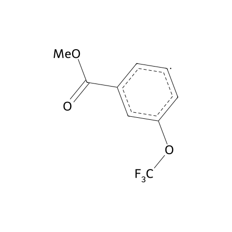 COC(=O)c1c[c]cc(OC(F)(F)F)c1